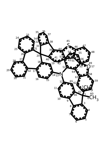 CC1(C)c2ccccc2-c2ccc(N(c3ccc4c(c3)C3(c5ccccc5-c5ccccc5-4)c4ccccc4-c4c3ccc3c4sc4ccccc43)c3cccc4oc5ccccc5c34)cc21